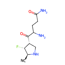 N#C[C@@H]1NC[C@@H](C(=O)C(N)CCC(N)=O)[C@H]1F